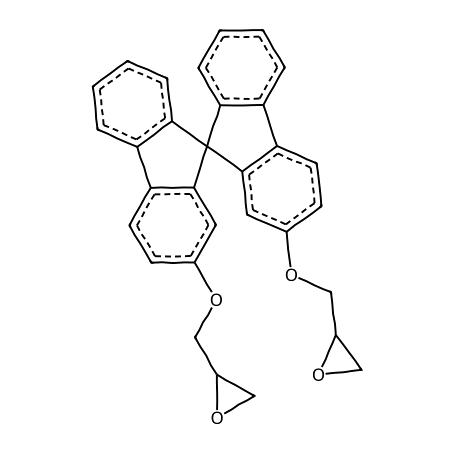 c1ccc2c(c1)-c1ccc(OCC3CO3)cc1C21c2ccccc2-c2ccc(OCC3CO3)cc21